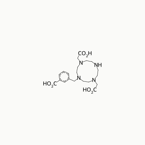 O=C(O)CN1CCNCCN(CC(=O)O)CCN(Cc2cccc(C(=O)O)c2)CC1